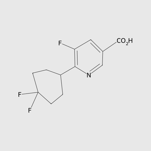 O=C(O)c1cnc(C2CCC(F)(F)CC2)c(F)c1